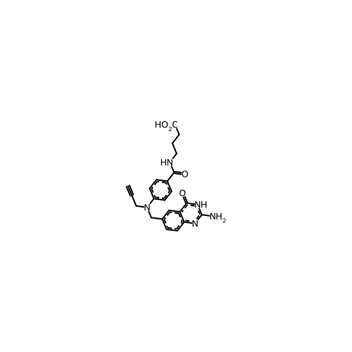 C#CCN(Cc1ccc2nc(N)[nH]c(=O)c2c1)c1ccc(C(=O)NCCCC(=O)O)cc1